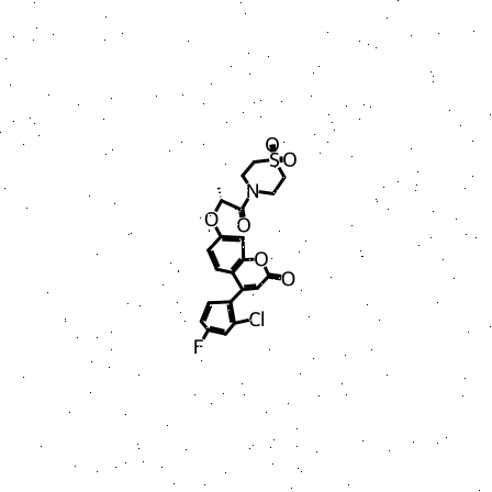 C[C@@H](Oc1ccc2c(-c3ccc(F)cc3Cl)cc(=O)oc2c1)C(=O)N1CCS(=O)(=O)CC1